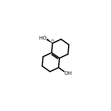 OC1CCCC2=C1CCC[C@@H]2O